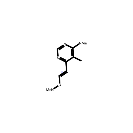 CNO/C=C/c1ncnc(NC)c1C